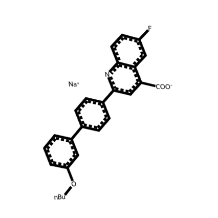 CCCCOc1cccc(-c2ccc(-c3cc(C(=O)[O-])c4cc(F)ccc4n3)cc2)c1.[Na+]